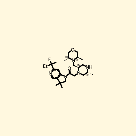 CCC(C)(F)c1cc2c(cn1)C(C)(C)CN2C(=O)CN1C[C@@H](C)NC[C@@H]1CN1[C@H](C)COC[C@H]1C